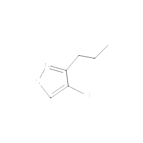 CCCC1=N[N]C=C1Cl